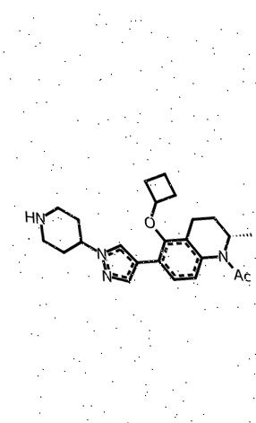 CC(=O)N1c2ccc(-c3cnn(C4CCNCC4)c3)c(OC3CCC3)c2CC[C@@H]1C